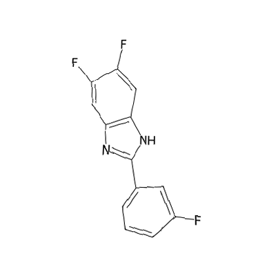 Fc1cccc(-c2nc3cc(F)c(F)cc3[nH]2)c1